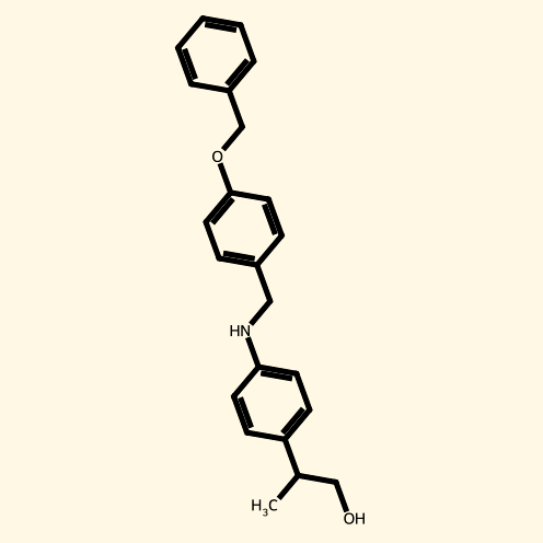 CC(CO)c1ccc(NCc2ccc(OCc3ccccc3)cc2)cc1